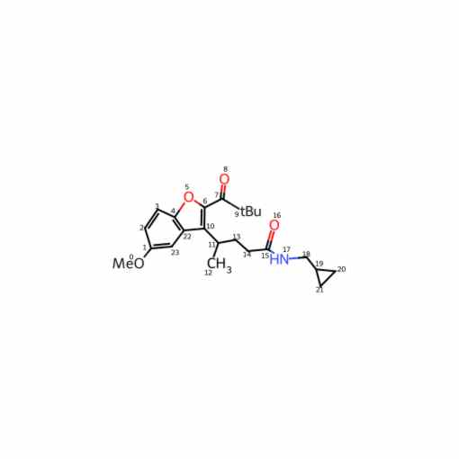 COc1ccc2oc(C(=O)C(C)(C)C)c(C(C)CCC(=O)NCC3CC3)c2c1